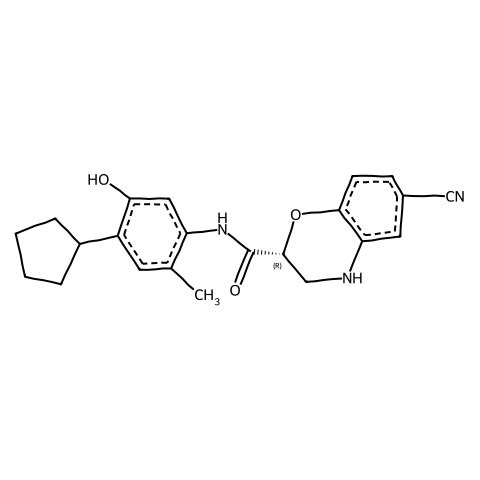 Cc1cc(C2CCCC2)c(O)cc1NC(=O)[C@H]1CNc2cc(C#N)ccc2O1